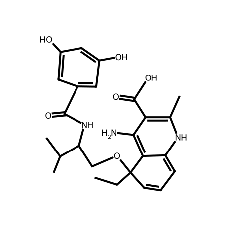 CCC1(OCC(NC(=O)c2cc(O)cc(O)c2)C(C)C)C=CC=C2NC(C)=C(C(=O)O)C(N)=C21